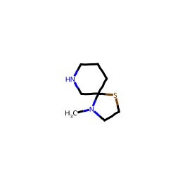 CN1CCSC12CCCNC2